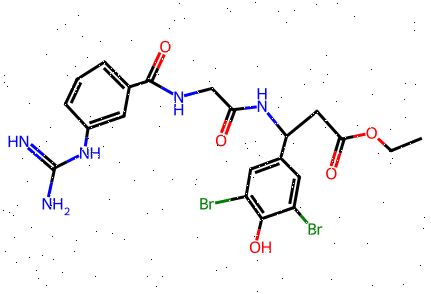 CCOC(=O)CC(NC(=O)CNC(=O)c1cccc(NC(=N)N)c1)c1cc(Br)c(O)c(Br)c1